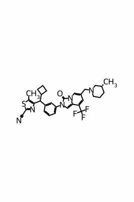 Cc1sc(C#N)nc1C(c1cccc(-n2cc3c(C(F)(F)F)cc(CN4CCC[C@H](C)C4)cn3c2=O)c1)C1CCC1